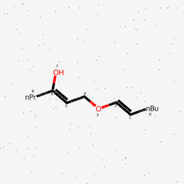 CCCCC=COCC=C(O)CCC